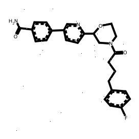 NC(=O)c1ccc(-c2ccc(C3CN(C(=O)CCCc4ccc(F)cc4)CCO3)nc2)cc1